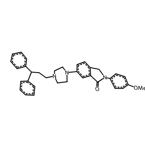 COc1ccc(N2Cc3ccc(N4CCN(CCC(c5ccccc5)c5ccccc5)CC4)cc3C2=O)cc1